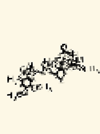 COCC(=O)NC(C)(C)C(O[N+](=O)[O-])C(C)(C)Oc1ccccc1CCN(C)CCCC(C#N)(c1ccc(OC)c(OC)c1)C(C)C